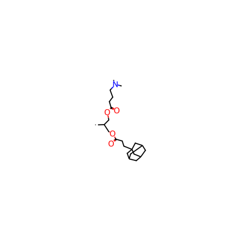 [CH2]C(COC(=O)CCCN(C)C)COC(=O)CCC12CC3CC(CC(C3)C1)C2